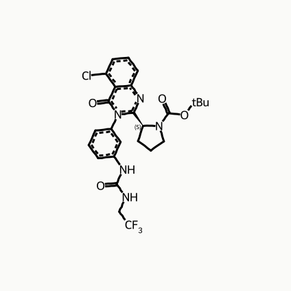 CC(C)(C)OC(=O)N1CCC[C@H]1c1nc2cccc(Cl)c2c(=O)n1-c1cccc(NC(=O)NCC(F)(F)F)c1